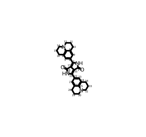 O=C1NC(c2cc3c4c(c2)CCCN4CCC3)=C2C(=O)NC(c3cc4c5c(c3)CCCN5CCC4)=C12